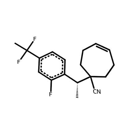 C[C@H](c1ccc(C(C)(F)F)cc1F)C1(C#N)CCC=CCC1